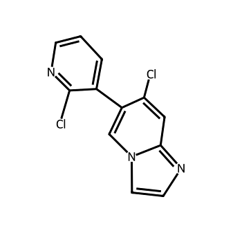 Clc1cc2nccn2cc1-c1cccnc1Cl